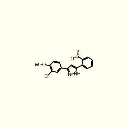 COc1ccc(-c2cc(-c3ccccc3[S+](C)[O-])[nH]n2)cc1Cl